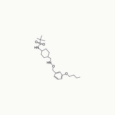 CCCCOc1cccc(CONCC2CCC(NS(=O)(=O)C(C)(C)C)CC2)c1